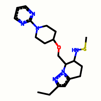 CCc1cc2n(n1)C(COC1CCN(c3ncccn3)CC1)C(NSC)CC2